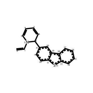 C=CN1C=CC=CC1c1ccc2sc3ccccc3c2c1